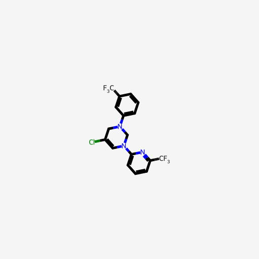 FC(F)(F)c1cccc(N2CC(Cl)=CN(c3cccc(C(F)(F)F)n3)C2)c1